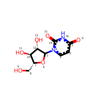 O=c1ccn(C2O[C@H](CO)[C@@H](O)[C@@H]2O)c(=O)[nH]1